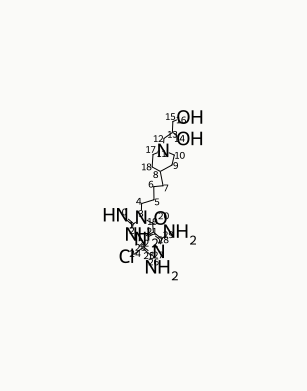 N=C(N)N(CCCCC1CCN(CC(O)CO)CC1)C(=O)c1nc(Cl)c(N)nc1N